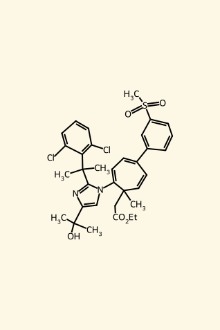 CCOC(=O)CC1(C)C=CC(c2cccc(S(C)(=O)=O)c2)=CC=C1n1cc(C(C)(C)O)nc1C(C)(C)c1c(Cl)cccc1Cl